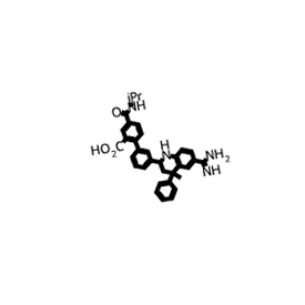 CC(C)NC(=O)c1ccc(-c2cccc(C3CC(C)(c4ccccc4)c4cc(C(=N)N)ccc4N3)c2)c(C(=O)O)c1